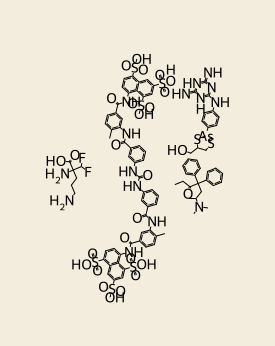 CCC(=O)C(CC(C)N(C)C)(c1ccccc1)c1ccccc1.Cc1ccc(C(=O)Nc2ccc(S(=O)(=O)O)c3cc(S(=O)(=O)O)cc(S(=O)(=O)O)c23)cc1NC(=O)c1cccc(NC(=O)Nc2cccc(C(=O)Nc3cc(C(=O)Nc4ccc(S(=O)(=O)O)c5cc(S(=O)(=O)O)cc(S(=O)(=O)O)c45)ccc3C)c2)c1.N=c1nc(Nc2ccc([As]3SCC(CO)S3)cc2)[nH]c(=N)[nH]1.NCCCC(N)(C(=O)O)C(F)F